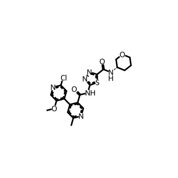 COc1cnc(Cl)cc1-c1cc(C)ncc1C(=O)Nc1nnc(C(=O)N[C@H]2CCCOC2)s1